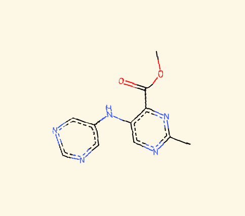 COC(=O)c1nc(C)ncc1Nc1cncnc1